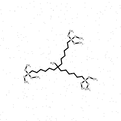 CO[Si](CCCCCCC([SiH3])(CCCCCC[Si](OC)(OC)OC)CCCCCC[Si](OC)(OC)OC)(OC)OC